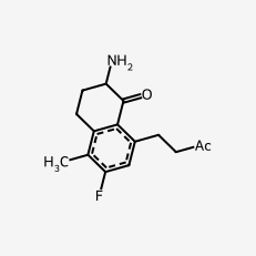 CC(=O)CCc1cc(F)c(C)c2c1C(=O)C(N)CC2